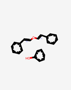 C(=C\c1ccccc1)/O/C=C/c1ccccc1.Oc1ccccc1